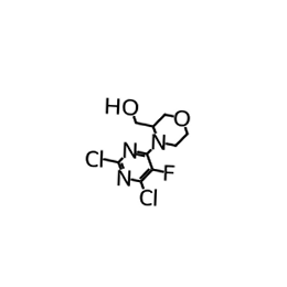 OCC1COCCN1c1nc(Cl)nc(Cl)c1F